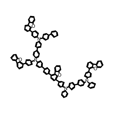 c1ccc(-c2ccc(N(c3ccc(-c4ccc(N(c5ccc(-c6ccc(-c7ccc(-c8ccc(N(c9ccccc9)c9ccc(-c%10ccc(N(c%11ccccc%11)c%11ccc(-c%12cccc%13c%12oc%12ccccc%12%13)cc%11)cc%10)cc9)cc8)c8oc9ccccc9c78)cc6)cc5)c5ccc(-c6cccc7c6oc6ccccc67)cc5)cc4)cc3)c3ccc(-c4cccc5c4oc4ccccc45)cc3)cc2)cc1